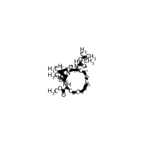 COC(=O)[C@@H]1CCCCC=CCCCC[C@H](NC(=O)OC(C)(C)C)C(=O)N2C[C@H]3[C@@H]([C@H]2C(=O)N1)C3(C)C